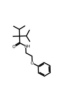 CC(C)C(C)(C(=O)NCCOc1ccccc1)C(C)C